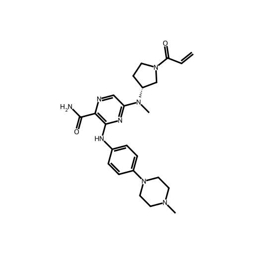 C=CC(=O)N1CC[C@@H](N(C)c2cnc(C(N)=O)c(Nc3ccc(N4CCN(C)CC4)cc3)n2)C1